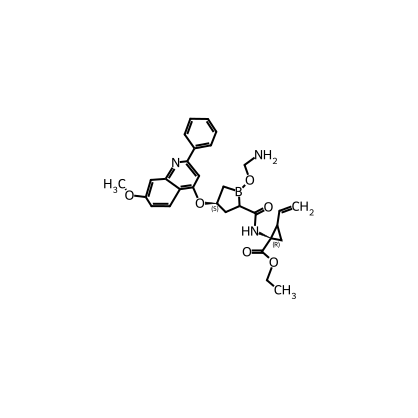 C=CC1C[C@]1(NC(=O)C1C[C@@H](Oc2cc(-c3ccccc3)nc3cc(OC)ccc23)CB1OCN)C(=O)OCC